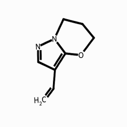 C=Cc1cnn2c1OCCC2